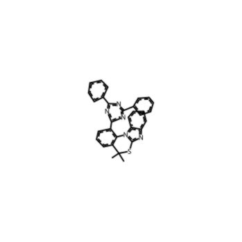 CC1(C)Sc2nc3ccccc3n2-c2c(-c3nc(-c4ccccc4)nc(-c4ccccc4)n3)cccc21